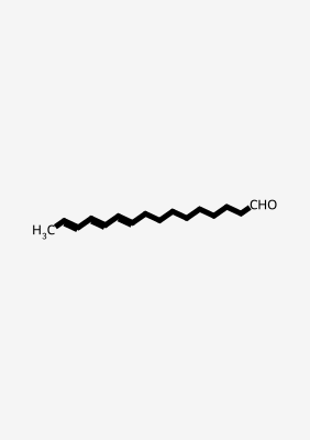 CC=CC=CC=CCCCCCCCCC=O